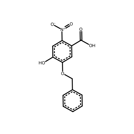 O=C(O)c1cc(OCc2ccccc2)c(O)cc1[N+](=O)[O-]